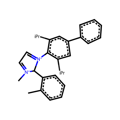 Cc1ccccc1C1[N+](C)=CC=[N+]1c1c(C(C)C)cc(-c2ccccc2)cc1C(C)C